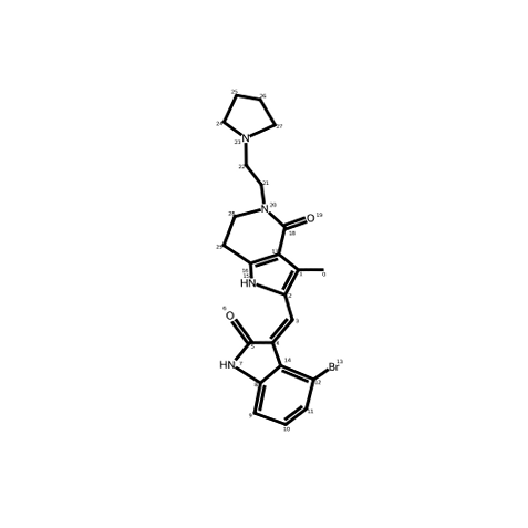 Cc1c(C=C2C(=O)Nc3cccc(Br)c32)[nH]c2c1C(=O)N(CCN1CCCC1)CC2